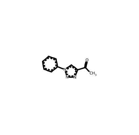 CC(=O)c1cn(-c2ccccc2)nn1